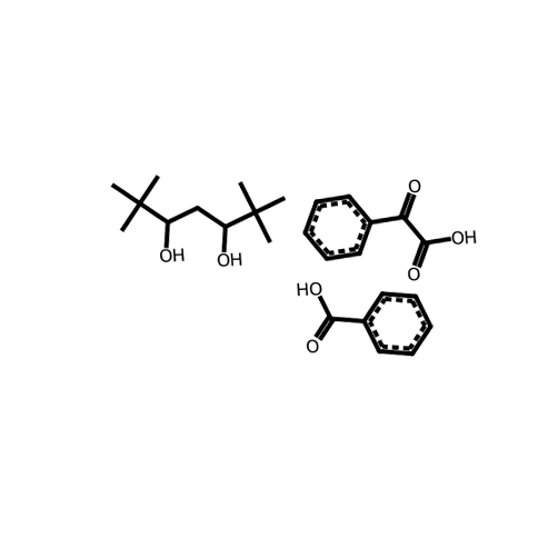 CC(C)(C)C(O)CC(O)C(C)(C)C.O=C(O)C(=O)c1ccccc1.O=C(O)c1ccccc1